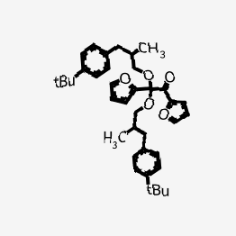 CC(COC(OCC(C)Cc1ccc(C(C)(C)C)cc1)(C(=O)c1ccco1)c1ccco1)Cc1ccc(C(C)(C)C)cc1